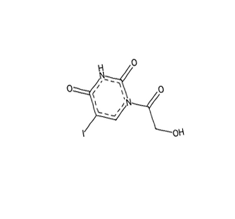 O=C(CO)n1cc(I)c(=O)[nH]c1=O